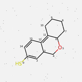 SC1=CC2COC3CCCCC3=C2C=C1